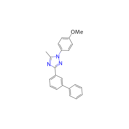 COc1ccc(-n2nc(-c3cccc(-c4ccccc4)c3)nc2C)cc1